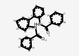 O=C(Nc1ccccc1-c1ccccc1NC(=O)c1ccccc1)c1ccccc1